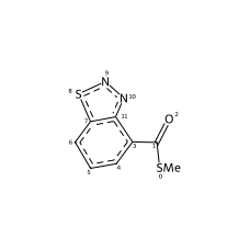 CSC(=O)c1cccc2snnc12